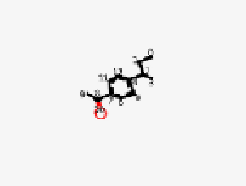 CCC(C)c1ccc(C(C)=O)cc1